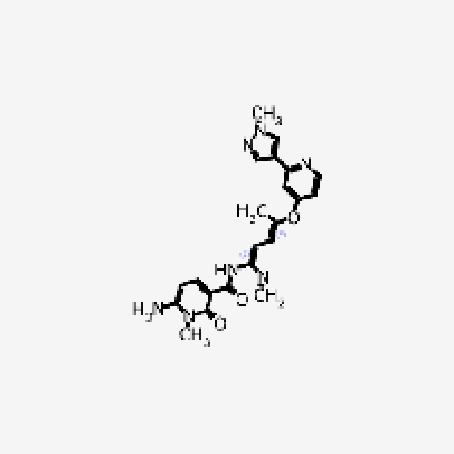 C=N/C(=C\C=C(/C)Oc1ccnc(-c2cnn(C)c2)c1)NC(=O)c1ccc(N)n(C)c1=O